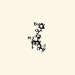 CC1CN(C(=O)Cc2cccc(Br)c2)CC=C1c1cc(NC(=O)C2CC2)nc2[nH]ccc12